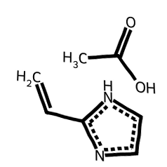 C=Cc1ncc[nH]1.CC(=O)O